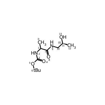 CC(NC(=O)OC(C)(C)C)C(=O)NC[C@H](C)O